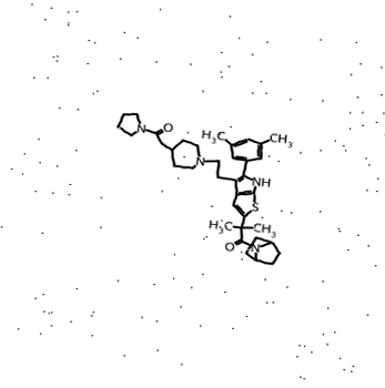 Cc1cc(C)cc(-c2[nH]c3sc(C(C)(C)C(=O)N4C5CCC4CC5)cc3c2CCN2CCC(CC(=O)N3CCCC3)CC2)c1